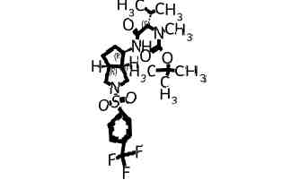 CC(C)[C@@H](C(=O)N[C@@H]1CC[C@H]2CN(S(=O)(=O)c3ccc(C(F)(F)F)cc3)C[C@H]21)N(C)C(=O)OC(C)(C)C